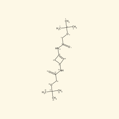 CC(C)(C)OCC(=O)NC1=CC(NC(=O)COC(C)(C)C)C1